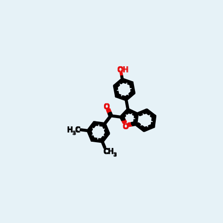 Cc1cc(C)cc(C(=O)c2oc3ccccc3c2-c2ccc(O)cc2)c1